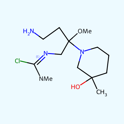 CN/C(Cl)=N\CC(CCN)(OC)N1CCCC(C)(O)C1